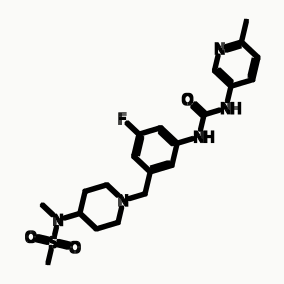 Cc1ccc(NC(=O)Nc2cc(F)cc(CN3CCC(N(C)S(C)(=O)=O)CC3)c2)cn1